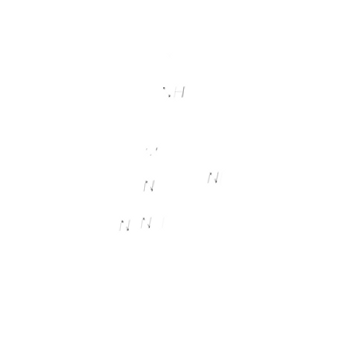 CCCNc1cc(N/N=C/c2cccc(C)c2)nc(OCCNC2=CCCCC2)c1